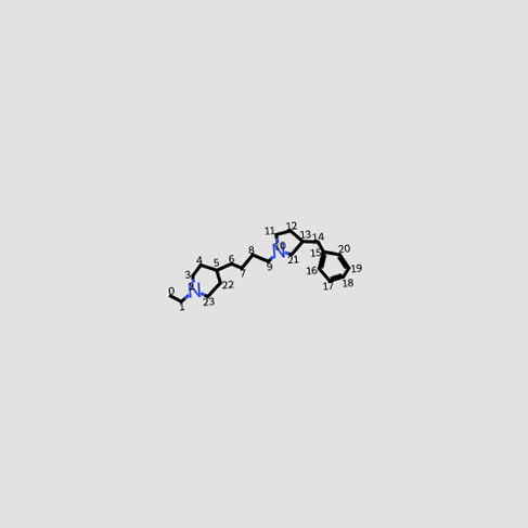 CCN1CCC(CCCCN2CCC(Cc3ccccc3)C2)CC1